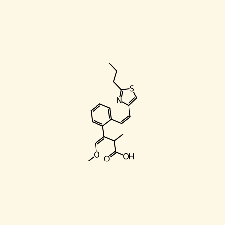 CCCc1nc(/C=C\c2ccccc2/C(=C/OC)C(C)C(=O)O)cs1